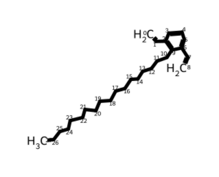 C=Cc1cccc(C=C)c1CCCCCCCCCCCCCCCCCC